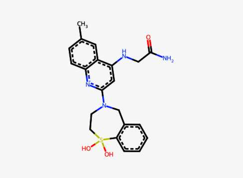 Cc1ccc2nc(N3CCS(O)(O)c4ccccc4C3)cc(NCC(N)=O)c2c1